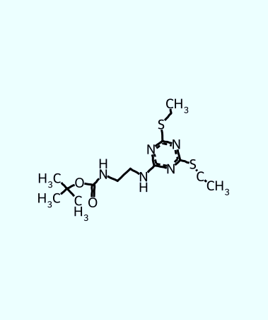 CCSc1nc(NCCNC(=O)OC(C)(C)C)nc(SCC)n1